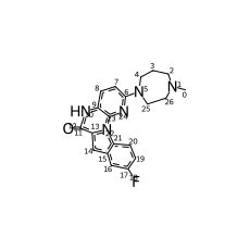 CN1CCCN(c2ccc3[nH]c(=O)c4cc5cc(F)ccc5n4c3n2)CC1